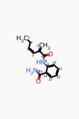 C=C(/C=C\CC)C(=O)Nc1ccccc1C(N)=O